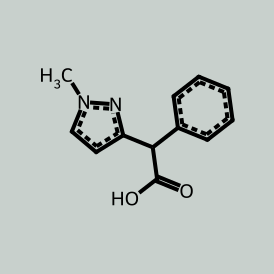 Cn1ccc(C(C(=O)O)c2ccccc2)n1